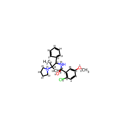 COc1ccc(Cl)c(C(=O)NC(c2ccccc2)C(C)(C)N2CCCC2)c1